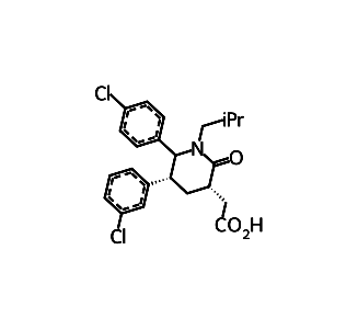 CC(C)CN1C(=O)[C@H](CC(=O)O)C[C@H](c2cccc(Cl)c2)C1c1ccc(Cl)cc1